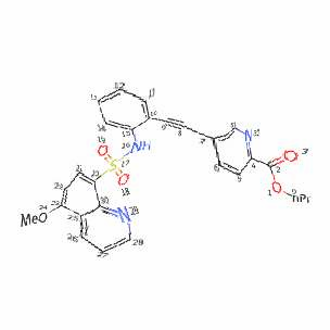 CCCOC(=O)c1ccc(C#Cc2ccccc2NS(=O)(=O)c2ccc(OC)c3cccnc23)cn1